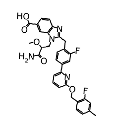 CO[C@@H](Cn1c(Cc2ccc(-c3cccc(OCc4ccc(C)cc4F)n3)cc2F)nc2ccc(C(=O)O)cc21)C(N)=O